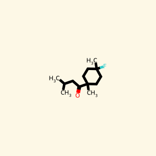 CC(C)CC(=O)C1(C)CCC(C)(F)CC1